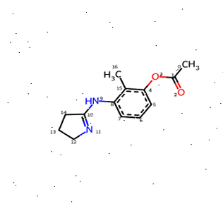 CC(=O)Oc1cccc(NC2=NCCC2)c1C